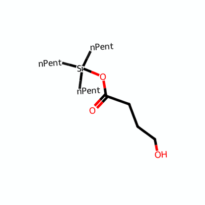 CCCCC[Si](CCCCC)(CCCCC)OC(=O)CCCO